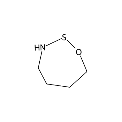 C1CCOSNC1